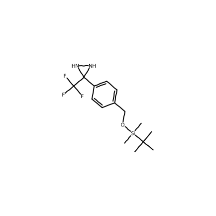 CC(C)(C)[Si](C)(C)OCc1ccc(C2(C(F)(F)F)NN2)cc1